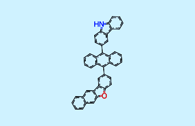 c1ccc2cc3c(cc2c1)oc1ccc(-c2c4ccccc4c(-c4ccc5[nH]c6ccccc6c5c4)c4ccccc24)cc13